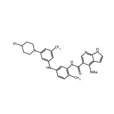 CCN1CCN(c2cc(Nc3ccc(C)c(NC(=O)c4cnc5[nH]ccc5c4NC)c3)cc(C(F)(F)F)c2)CC1